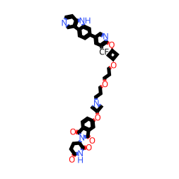 O=C1CCC(N2C(=O)c3ccc(OC4CN(CCCOCCCO[C@H]5C[C@H](Oc6ncc(-c7ccc8c(c7)[nH]c7ccncc78)cc6C(F)(F)F)C5)C4)cc3C2=O)C(=O)N1